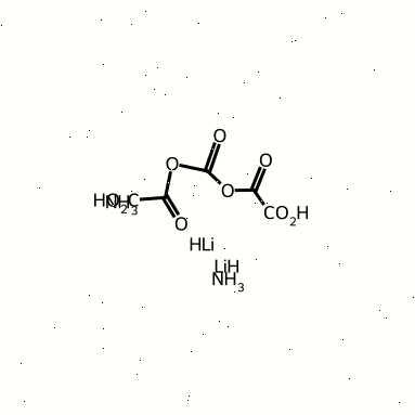 N.N.O=C(OC(=O)C(=O)O)OC(=O)C(=O)O.[LiH].[LiH]